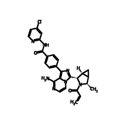 C=CC(=O)N1[C@H](c2nc(-c3ccc(C(=O)Nc4cc(Cl)ccn4)cc3)c3c(N)nccn23)[C@H]2CC2[C@@H]1C